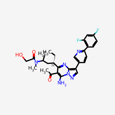 CC[C@@H](CC(C)N(C)C(=O)CO)c1nc2c(-c3ccc(-c4ccc(F)cc4F)nc3)cnn2c(N)c1C(C)=O